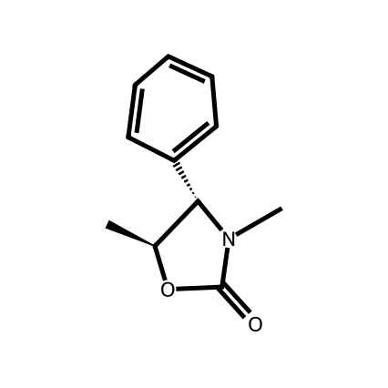 C[C@@H]1OC(=O)N(C)[C@H]1c1ccccc1